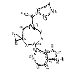 O=C(c1ccns1)N1CCN(c2ncnc3[nH]ccc23)CC2(CC2)C1